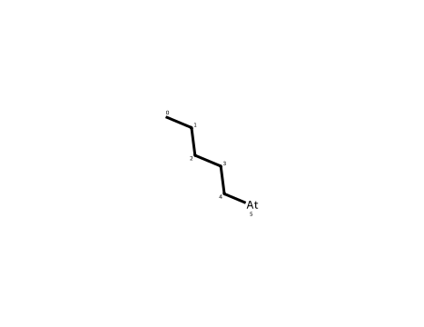 CCCCC[At]